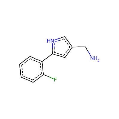 NCc1c[nH]c(-c2ccccc2F)c1